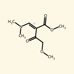 COCC(=O)/C(=C\N(C)C)C(=O)OC